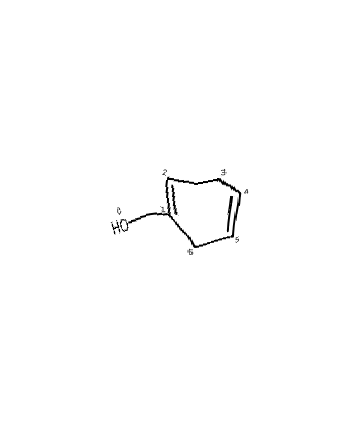 OC1=CCC=CC1